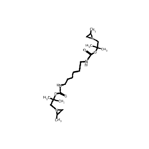 CC1CN1CC(C)(C)OC(=O)NCCCCCCNC(=O)OC(C)(C)CN1CC1C